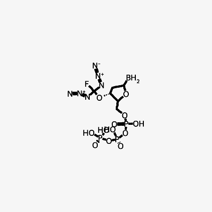 BC1C[C@@H](OC(F)(N=[N+]=[N-])N=[N+]=[N-])C(COP(=O)(O)OP(=O)(O)OP(=O)(O)O)O1